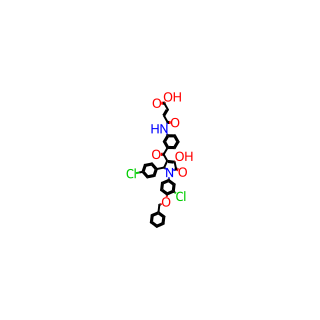 O=C(O)C=CC(=O)Nc1cccc(C(=O)C2=C(O)C(=O)N(c3ccc(OCc4ccccc4)c(Cl)c3)C2c2ccc(Cl)cc2)c1